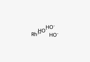 [OH-].[OH-].[OH-].[Rh+3]